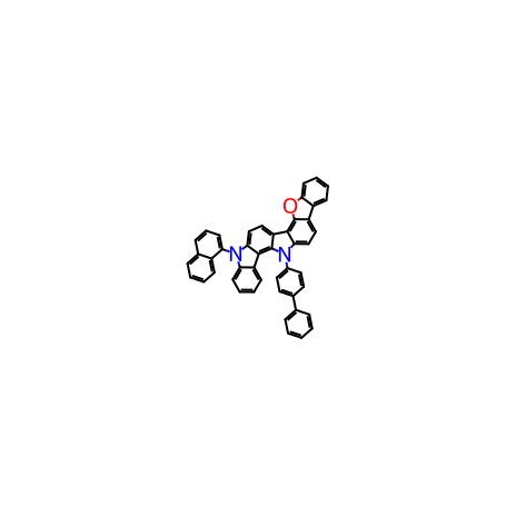 c1ccc(-c2ccc(-n3c4ccc5c6ccccc6oc5c4c4ccc5c(c6ccccc6n5-c5cccc6ccccc56)c43)cc2)cc1